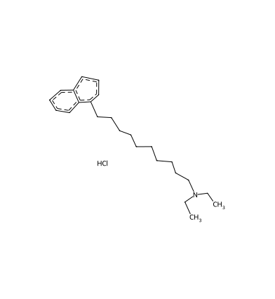 CCN(CC)CCCCCCCCCCc1cccc2ccccc12.Cl